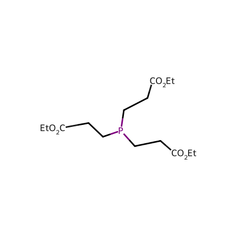 CCOC(=O)CCP(CCC(=O)OCC)CCC(=O)OCC